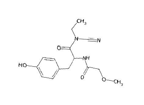 CCN(C#N)C(=O)C(Cc1ccc(O)cc1)NC(=O)COC